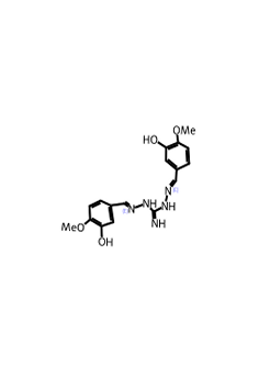 COc1ccc(/C=N/NC(=N)N/N=C/c2ccc(OC)c(O)c2)cc1O